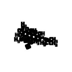 CC1c2ccc(CNCC(C)(C)C)c(O)c2C(=O)C2=C(O)[C@]3(O)C(=O)C(C(N)=O)=C(O)[C@@H](N(C)C)[C@@H]3[C@@H](OC(=O)C3CCC3)[C@@H]21